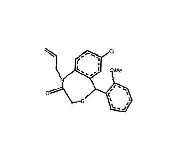 C=CCN1C(=O)[C]OC(c2ccccc2OC)c2cc(Cl)ccc21